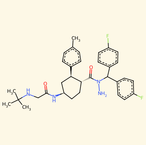 Cc1ccc([C@@H]2C[C@H](NC(=O)CNC(C)(C)C)CC[C@H]2C(=O)N(N)C(c2ccc(F)cc2)c2ccc(F)cc2)cc1